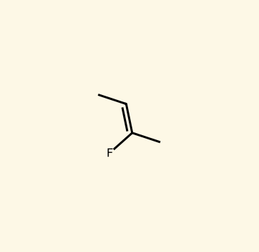 C/C=C(/C)F